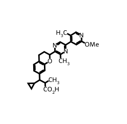 COc1cc(-c2cnc(C3CCc4ccc(C(C5CC5)C(C)C(=O)O)cc4O3)c(C)n2)c(C)cn1